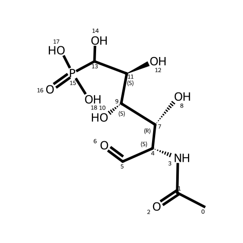 CC(=O)N[C@H](C=O)[C@@H](O)[C@H](O)[C@H](O)C(O)P(=O)(O)O